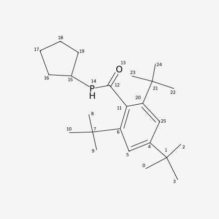 CC(C)(C)c1cc(C(C)(C)C)c(C(=O)PC2CCCC2)c(C(C)(C)C)c1